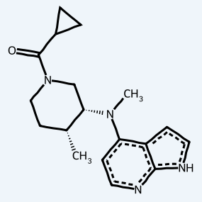 C[C@@H]1CCN(C(=O)C2CC2)C[C@@H]1N(C)c1ccnc2[nH]ccc12